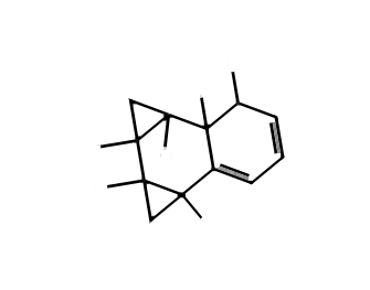 ClC1C=CC=C2C3(Cl)CC3(Cl)C3(Cl)CC3(Cl)C21Cl